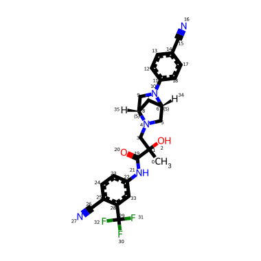 CC(O)(CN1C[C@@H]2C[C@H]1CN2c1ccc(C#N)cc1)C(=O)Nc1ccc(C#N)c(C(F)(F)F)c1